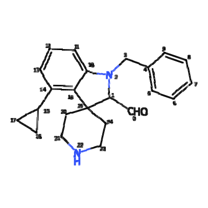 O=CC1N(Cc2ccccc2)c2cccc(C3CC3)c2C12CCNCC2